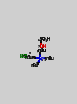 CCCC[N+](CCCC)(CCCC)CCCC.Cl.O=S(=O)(O)O